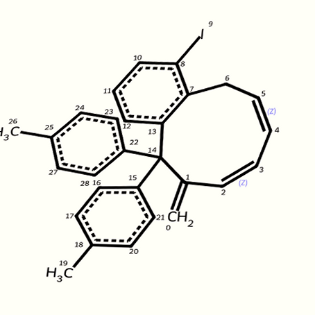 C=C1/C=C\C=C/Cc2c(I)cccc2C1(c1ccc(C)cc1)c1ccc(C)cc1